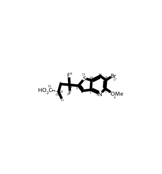 COc1nc2cc(C(F)(F)C[C@H](C)C(=O)O)sc2cc1Br